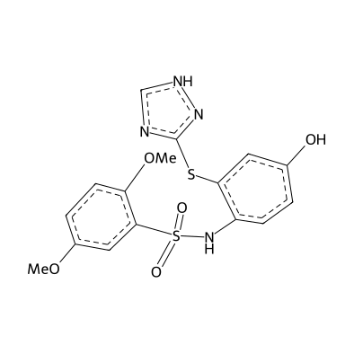 COc1ccc(OC)c(S(=O)(=O)Nc2ccc(O)cc2Sc2nc[nH]n2)c1